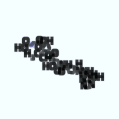 CC(C)c1c(OC(=O)CCC(NC(=O)c2ccc(NCC3(N)N=c4nccnc4=C(O)N3)cc2)C(=O)O)ccc(O)c1OC(=O)/C=C/C(=O)O